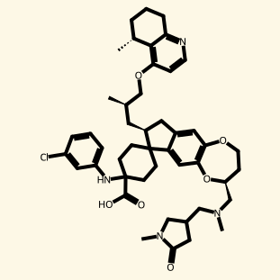 C[C@@H](COc1ccnc2c1[C@H](C)CCC2)C[C@H]1Cc2cc3c(cc2C12CCC(Nc1cccc(Cl)c1)(C(=O)O)CC2)O[C@H](CN(C)CC1CC(=O)N(C)C1)CCO3